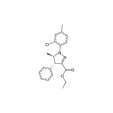 CCOC(=O)C1=NN(c2ccc(C)cc2Cl)[C@H](C)[C@H]1c1ccccc1